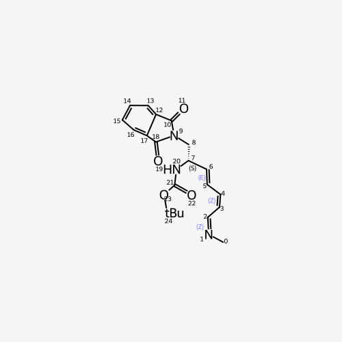 C\N=C/C=C\C=C\[C@@H](CN1C(=O)c2ccccc2C1=O)NC(=O)OC(C)(C)C